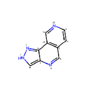 c1cc2cnc3c[nH]nc3c2cn1